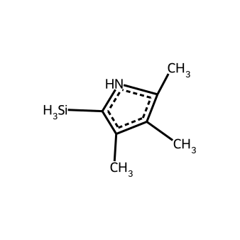 Cc1[nH]c([SiH3])c(C)c1C